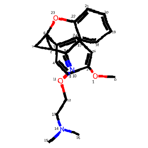 COc1ccc(C23CC2C(=NOCCN(C)C)c2ccccc2O3)cc1